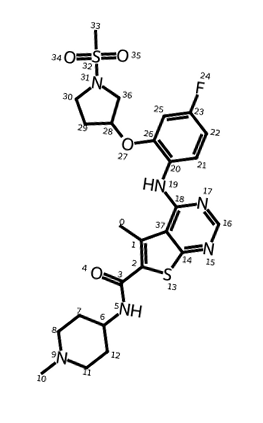 Cc1c(C(=O)NC2CCN(C)CC2)sc2ncnc(Nc3ccc(F)cc3OC3CCN(S(C)(=O)=O)C3)c12